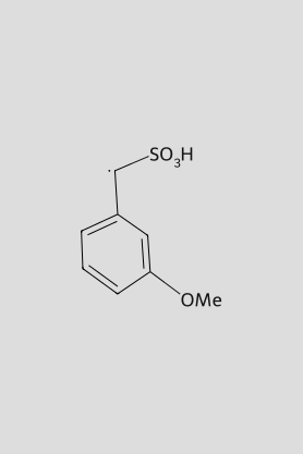 COc1cccc([CH]S(=O)(=O)O)c1